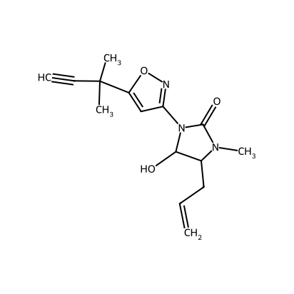 C#CC(C)(C)c1cc(N2C(=O)N(C)C(CC=C)C2O)no1